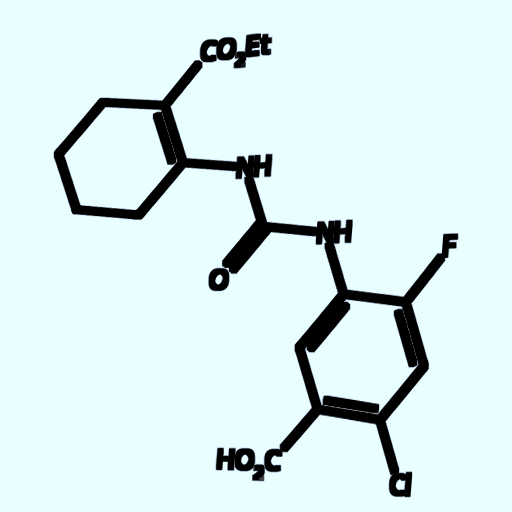 CCOC(=O)C1=C(NC(=O)Nc2cc(C(=O)O)c(Cl)cc2F)CCCC1